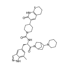 Cc1cc(C[C@@H](NC(=O)N2CCC(c3cc4c([nH]c3=O)SCCC4)CC2)C(=O)N2CC3CC2CC3N2CCCCC2)cc2cn[nH]c12